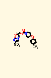 C[C@]1(COC(=O)N2CCC(Oc3ccc(C(F)(F)F)cc3)CC2)Cn2cc([N+](=O)[O-])nc2O1